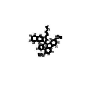 C=CCCCCC(C1=CC=CC1)(c1ccc2ccccc2c1)C1c2cc(C(C)(C)C)ccc2-c2ccc(C(C)(C)C)cc21